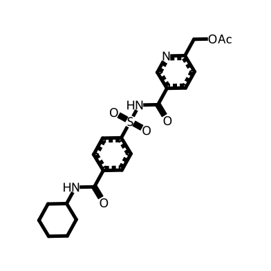 CC(=O)OCc1ccc(C(=O)NS(=O)(=O)c2ccc(C(=O)NC3CCCCC3)cc2)cn1